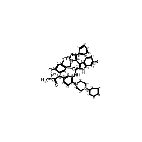 C[C@@H](c1ccc(Cl)cc1Cl)n1cnc(-c2ccccc2)c1-c1c(C(=O)Nc2cc(CC(=O)N(C)C)ccc2N2CCN(C3CCCCC3)CC2)[nH]c2cc(Cl)ccc12